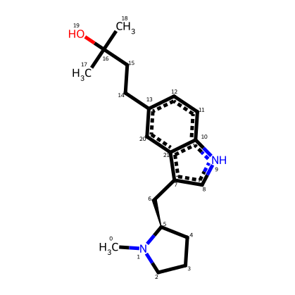 CN1CCC[C@@H]1Cc1c[nH]c2ccc(CCC(C)(C)O)cc12